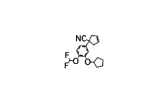 N#CC1(c2ccc(OC(F)F)c(OC3CCCC3)c2)CC=CC1